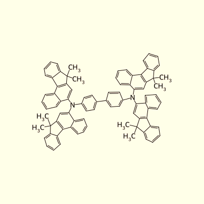 CC1(C)c2ccccc2-c2c1cc(N(c1ccc(-c3ccc(N(c4cc5c(c6ccccc46)-c4ccccc4C5(C)C)c4cc5c(c6ccccc46)-c4ccccc4C5(C)C)cc3)cc1)c1cc3c(c4ccccc14)-c1ccccc1C3(C)C)c1ccccc21